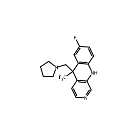 Fc1ccc2c(c1)C(CN1CCCC1)(C(F)(F)F)c1ccncc1N2